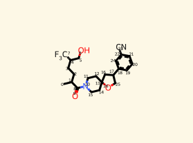 CC(CCC(CO)C(F)(F)F)C(=O)N1CCC2(CC1)CC(c1cccc(C#N)c1)CO2